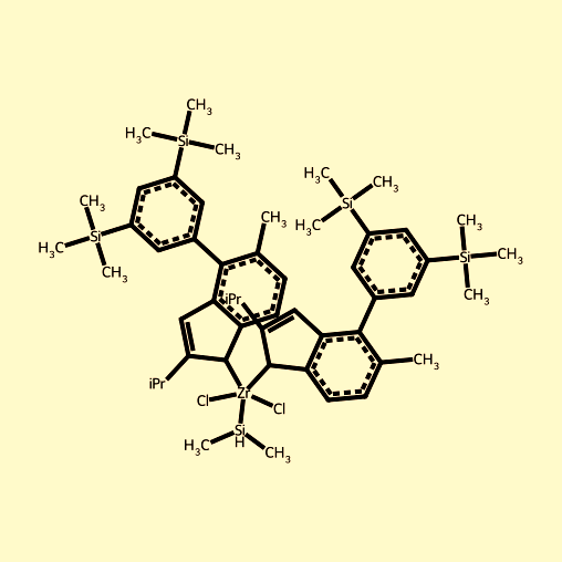 Cc1ccc2c(c1-c1cc([Si](C)(C)C)cc([Si](C)(C)C)c1)C=C(C(C)C)[CH]2[Zr]([Cl])([Cl])([CH]1C(C(C)C)=Cc2c1ccc(C)c2-c1cc([Si](C)(C)C)cc([Si](C)(C)C)c1)[SiH](C)C